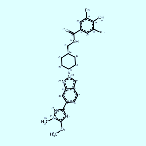 COc1nc(-c2ccc3cn([C@H]4CC[C@H](CNC(=O)c5cc(F)c(O)c(F)c5)CC4)nc3c2)nn1C